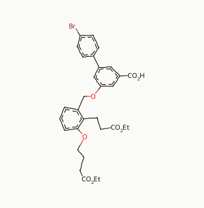 CCOC(=O)CCCOc1cccc(COc2cc(C(=O)O)cc(-c3ccc(Br)cc3)c2)c1CCC(=O)OCC